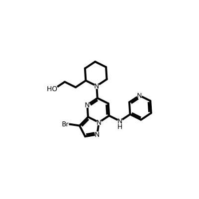 OCCC1CCCCN1c1cc(Nc2cccnc2)n2ncc(Br)c2n1